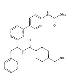 COC(=O)Nc1ccc(-c2ccnc(C(Cc3ccccc3)NC(=O)C3CCC(CN)CC3)c2)cc1